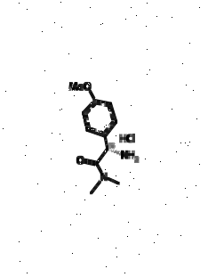 COc1ccc([C@H](N)C(=O)N(C)C)cc1.Cl